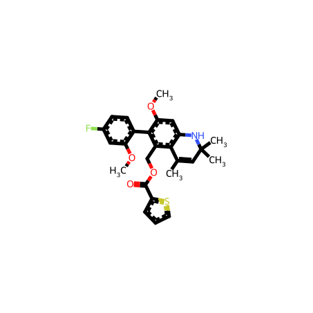 COc1cc(F)ccc1-c1c(OC)cc2c(c1COC(=O)c1cccs1)C(C)=CC(C)(C)N2